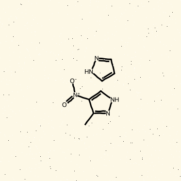 Cc1n[nH]cc1[N+](=O)[O-].c1cn[nH]c1